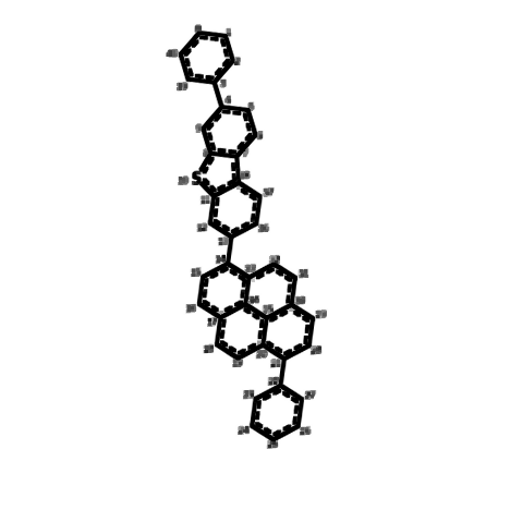 c1ccc(-c2ccc3c(c2)sc2cc(-c4ccc5ccc6c(-c7ccccc7)ccc7ccc4c5c76)ccc23)cc1